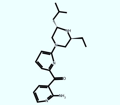 CC[C@H]1CN(c2cccc(C(=O)c3cccnc3N)n2)C[C@H](CC(C)C)N1